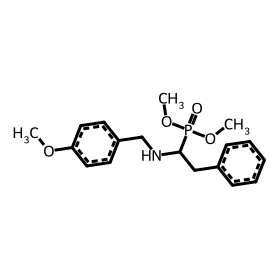 COc1ccc(CNC(Cc2ccccc2)P(=O)(OC)OC)cc1